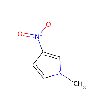 Cn1[c]c([N+](=O)[O-])cc1